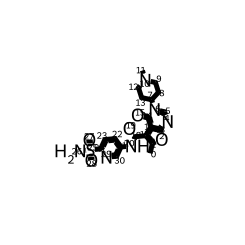 Cc1oc2ncn(C3CCN(C)CC3)c(=O)c2c1C(=O)Nc1ccc(S(N)(=O)=O)nc1